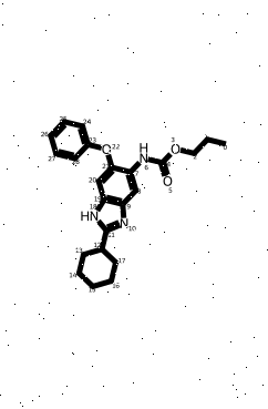 CCCOC(=O)Nc1cc2nc(C3CCCCC3)[nH]c2cc1Oc1ccccc1